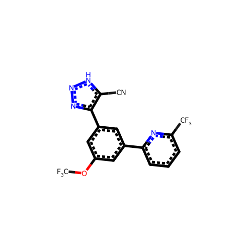 N#Cc1[nH]nnc1-c1cc(OC(F)(F)F)cc(-c2cccc(C(F)(F)F)n2)c1